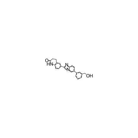 O=C1CCc2cc(-c3cn4cc(-c5cccc(CO)c5)ccc4n3)ccc2N1